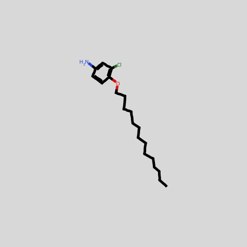 CCCCCCCCCCCCCCOc1ccc(N)cc1Cl